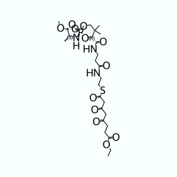 CCOC(=O)CCC(=O)CC(=O)CC(=O)SCCNC(=O)CCNC(=O)[C@@H]1OP(=O)(N[C@@H](C)C(=O)OC)OCC1(C)C